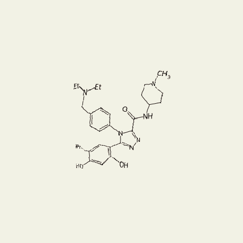 CCN(CC)Cc1ccc(-n2c(C(=O)NC3CCN(C)CC3)nnc2-c2cc(C(C)C)c(O)cc2O)cc1